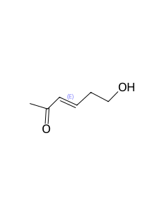 CC(=O)/C=C/CCO